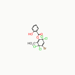 O=C(O)C1=C(OC(=O)c2ccccc2O)C(Cl)(Cl)C=C(Br)C1(Cl)Cl